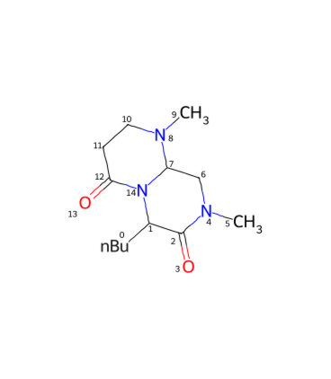 CCCCC1C(=O)N(C)CC2N(C)CCC(=O)N12